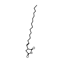 CCCCCCCCCCCCCCC=CC1CC(=O)[N]C1=O